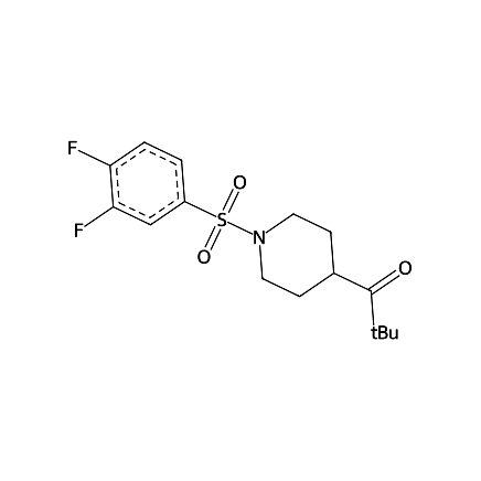 CC(C)(C)C(=O)C1CCN(S(=O)(=O)c2ccc(F)c(F)c2)CC1